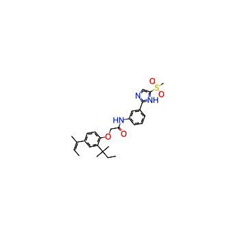 C/C=C(/C)c1ccc(OCC(=O)Nc2cccc(-c3ncc(S(C)(=O)=O)[nH]3)c2)c(C(C)(C)CC)c1